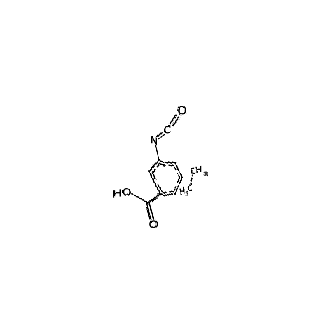 CC.O=C=Nc1cccc(C(=O)O)c1